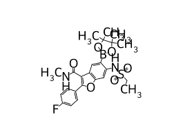 CCS(=O)(=O)Nc1cc2oc(-c3ccc(F)cc3)c(C(=O)NC)c2cc1B1OC(C)(C)C(C)(C)O1